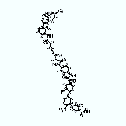 Nc1ncc(-c2ccc(S(=O)(=O)Nc3ccc(NC(=O)CNCCCCC(=O)Nc4cccc5c4CN(C4CCC(=O)NC4=O)C5=O)cc3)cc2F)cc1-c1ccc2c(c1)CCNC2=O